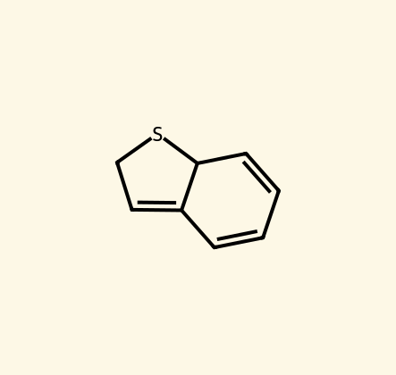 C1=CC2=CCSC2C=C1